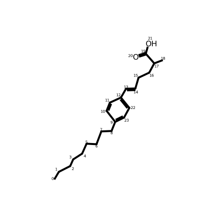 CCCCCCCCCc1ccc(C=CCCC(C)C(=O)O)cc1